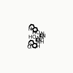 C=O.Oc1c[nH]nn1.Oc1c[nH]nn1.c1ccc2ncccc2c1.c1ccc2ncccc2c1